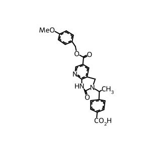 COc1ccc(COC(=O)c2cnc3c(c2)CN(C(C)c2ccc(C(=O)O)cc2)C(=O)N3)cc1